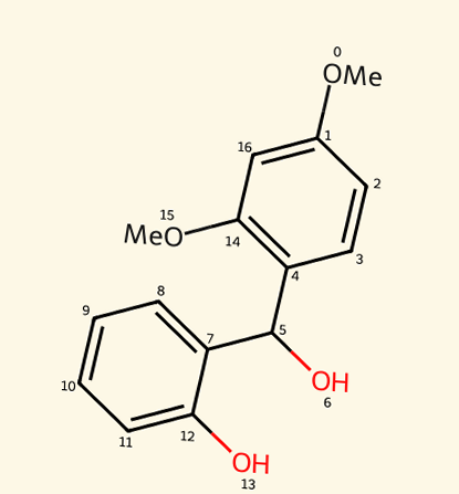 COc1ccc(C(O)c2ccccc2O)c(OC)c1